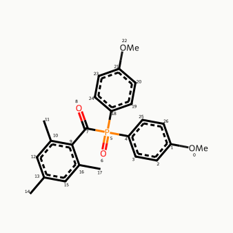 COc1ccc(P(=O)(C(=O)c2c(C)cc(C)cc2C)c2ccc(OC)cc2)cc1